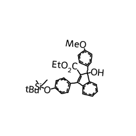 CCOC(=O)C1=C(c2ccc(O[Si](C)(C)C(C)(C)C)cc2)c2ccccc2C1(O)c1ccc(OC)cc1